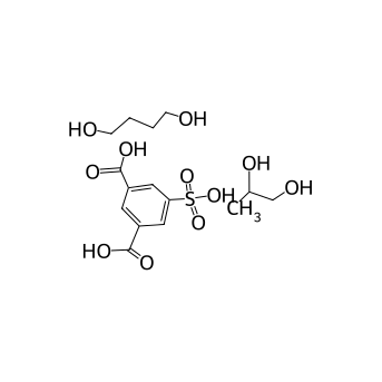 CC(O)CO.O=C(O)c1cc(C(=O)O)cc(S(=O)(=O)O)c1.OCCCCO